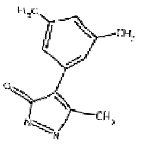 CC1=C(c2cc(C)cc(C)c2)C(=O)N=N1